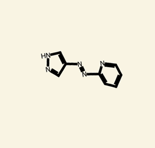 c1ccc(N=Nc2cn[nH]c2)nc1